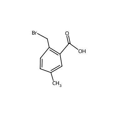 Cc1ccc(CBr)c(C(=O)O)c1